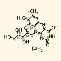 Cc1cc2nc3c(=O)[nH]c(=O)nc-3n(C[C@H](O)[C@H](O)[C@H](O)CO)c2cc1C.[CaH2]